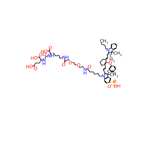 CCCCN1/C(=C/C=C2\CCCC(/C=C/C3=[N+](CCCCCC(=O)NCCOCCOCC(=O)NCCCC[C@H](NC(=O)N[C@@H](CCC(=O)O)C(=O)O)C(=O)O)c4ccc(S(=O)(=O)O)cc4C3(C)C)=C2Oc2ccccc2)C(C)(C)c2ccccc21